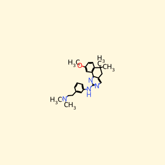 COc1ccc2c(c1)-c1nc(Nc3cccc(CCN(C)C)c3)ncc1CC2(C)C